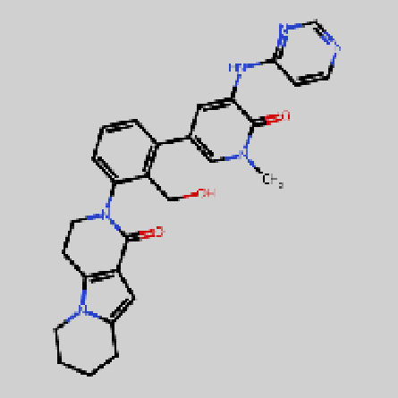 Cn1cc(-c2cccc(N3CCc4c(cc5n4CCCC5)C3=O)c2CO)cc(Nc2ccncn2)c1=O